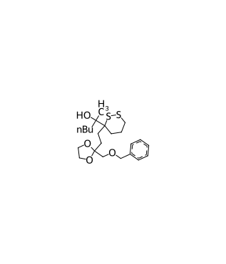 CCCCC(C)(O)C1(CCC2(COCc3ccccc3)OCCO2)CCCSS1